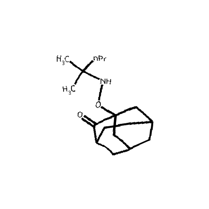 CCCC(C)(C)NOC12CC3CC(CC(C3)C1=O)C2